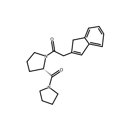 O=C([C@@H]1CCCN1C(=O)CC1=Cc2ccccc2C1)N1CCCC1